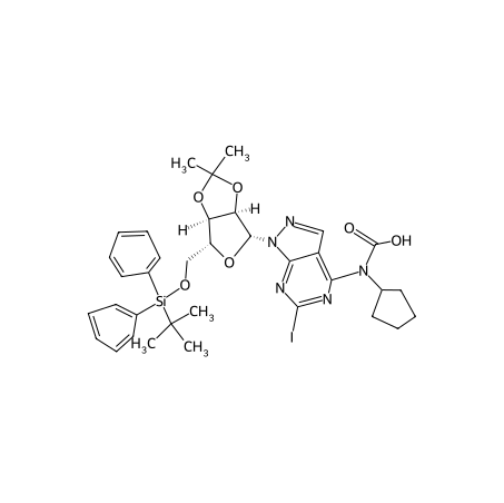 CC1(C)O[C@@H]2[C@H](O1)[C@@H](CO[Si](c1ccccc1)(c1ccccc1)C(C)(C)C)O[C@H]2n1ncc2c(N(C(=O)O)C3CCCC3)nc(I)nc21